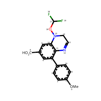 COc1ccc(-c2cc(C(=O)O)cc3c2N=CCN3OC(F)F)cc1